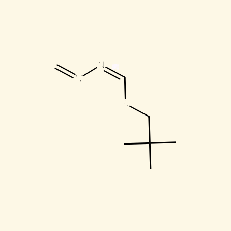 C=N/N=C\SCC(C)(C)C